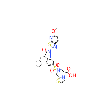 COc1ccc2nc(NC(=O)C(CC3CCCC3)c3ccc(S(=O)(=O)N(CCC(=O)O)Cc4nccs4)cc3)sc2n1